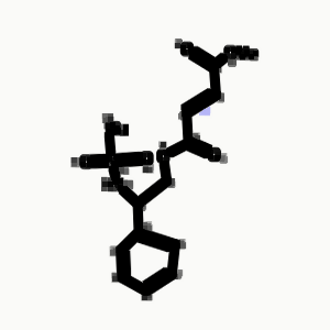 COC(=O)/C=C/C(=O)OCC(NS(=O)(=O)C(C)(C)C)c1ccccc1